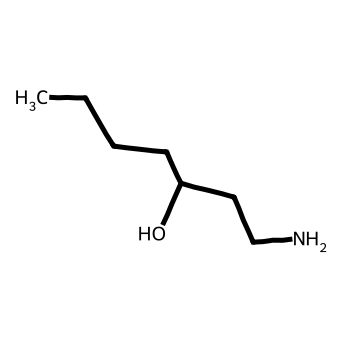 CCCCC(O)CCN